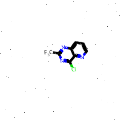 FC(F)(F)c1nc(Cl)c2ncccc2n1